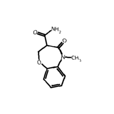 CN1C(=O)C(C(N)=O)COc2ccccc21